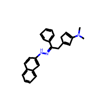 CN(C)C1=CCC(CC(=NNc2ccc3ccccc3c2)c2ccccc2)=C1